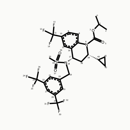 CC(C)OC(=O)N1c2ccc(C(F)(F)F)cc2[C@@H](N(Cc2cc(C(F)(F)F)cc(C(F)(F)F)c2)S(C)(=O)=O)C[C@H]1C1CC1